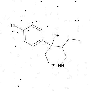 CCC1CNCCC1(O)c1ccc(Cl)cc1